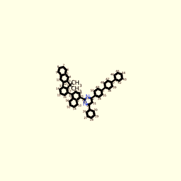 CC1(C)c2cc3ccccc3cc2-c2cccc(-c3ccc(-c4nc(-c5ccccc5)cc(-c5ccc(-c6ccc(-c7ccccc7)cc6)cc5)n4)c4ccccc34)c21